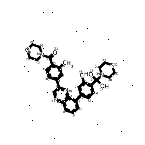 Cc1cc(-c2cnc3cccc(-c4ccc(C(O)(O)N5CCSCC5)c(Cl)c4)c3n2)ccc1C(=O)N1CCOCC1